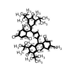 CC(C)(C)C1=CC(=C(c2ccc(C(=C3C=C(C(C)(C)C)C(=O)C(C(C)(C)C)=C3)c3c(Cl)cc(N)cc3Cl)s2)c2c(N)cc(Cl)cc2Cl)C=C(C(C)(C)C)C1=O